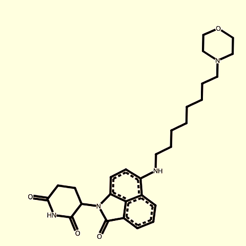 O=C1CCC(N2C(=O)c3cccc4c(NCCCCCCCCN5CCOCC5)ccc2c34)C(=O)N1